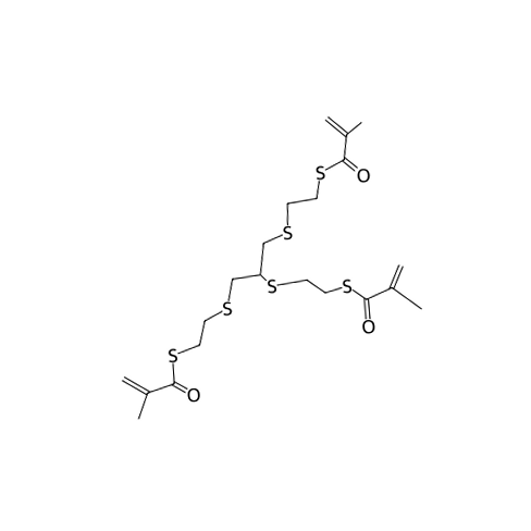 C=C(C)C(=O)SCCSCC(CSCCSC(=O)C(=C)C)SCCSC(=O)C(=C)C